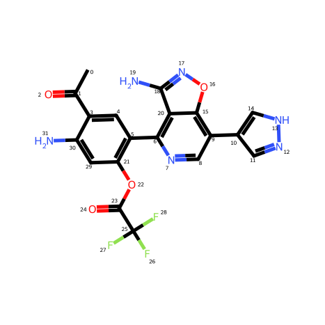 CC(=O)c1cc(-c2ncc(-c3cn[nH]c3)c3onc(N)c23)c(OC(=O)C(F)(F)F)cc1N